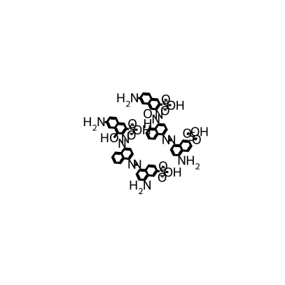 Nc1ccc2cc(S(=O)(=O)O)c(N=Nc3ccc(N=Nc4ccc(N)c5cc(S(=O)(=O)O)ccc45)c4ccccc34)c(O)c2c1.Nc1ccc2cc(S(=O)(=O)O)c(N=Nc3ccc(N=Nc4ccc(N)c5ccc(S(=O)(=O)O)cc45)c4ccccc34)c(O)c2c1